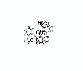 C[C@H]([C@H](O)c1ccccc1)N(C)C(=O)[C@@H](C)CC1=CC2=CNSN2C=C1